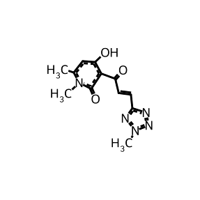 Cc1cc(O)c(C(=O)/C=C/c2nnn(C)n2)c(=O)n1C